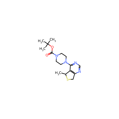 CC1SCc2ncnc(N3CCN(C(=O)OC(C)(C)C)CC3)c21